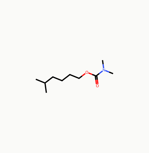 CC(C)CCCCOC(=O)N(C)C